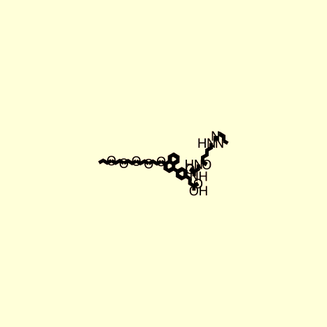 CCCOCCOCCOCCOCCOc1ccc(-c2ccc(C(CC(=O)O)NC(=O)CNC(=O)CCCCNc3nccc(C)n3)cc2)c2ccccc12